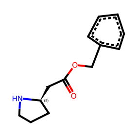 O=C([CH][C@H]1CCCN1)OCc1ccccc1